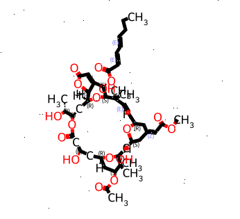 CCC/C=C/C=C/C(=O)O[C@H]1C2=CC(=O)O[C@@H]2[C@H]2C[C@H]([C@@H](C)O)OC(=O)C[C@H](O)C[C@@H]3C[C@H](OC(C)=O)C(C)(C)[C@](O)(C[C@@H]4C/C(=C/C(=O)OC)C[C@H](/C=C/C(C)(C)[C@]1(O)O2)O4)O3